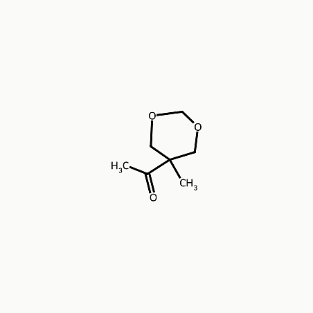 CC(=O)C1(C)COCOC1